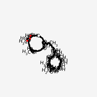 CC(=O)C1NC(=O)C(O)CNC(=O)C(C(C)O)NC(=O)C(C(O)C(O)C(N)=O)NC(=O)C(C(C)C)CC(=O)C(CO)NC(=O)C(CNC(=O)C(C)NC(=O)CCCC[C@@H](C)/C=C(\C)C2OC3C=CC2OC(=O)\C=C/C=C\C=C\[C@H]2OC4CC2O[C@@H](/C=C/C[C@H]2O[C@H](C[C@H](O)[C@H]2C)[C@@H](O)[C@@H](O)/C=C/CC/C=C/C3)C4C)NC1=O